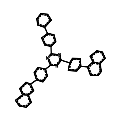 c1ccc(-c2ccc(-c3nc(-c4ccc(-c5ccc6ccccc6c5)cc4)nc(-c4ccc(-c5cccc6ccccc56)cc4)n3)cc2)cc1